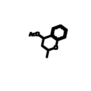 CC(=O)OC1CC(C)Oc2ccccc21